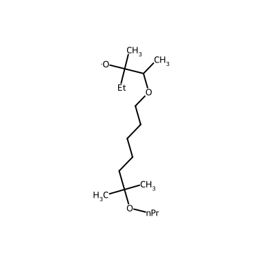 CCCOC(C)(C)CCCCCOC(C)C(C)([O])CC